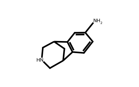 Nc1ccc2c(c1)C1CNCC2C1